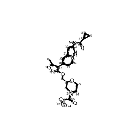 Cc1onc(OC[C@@H]2CN(C(=O)OC(C)(C)C)CCO2)c1-c1ccn2nc(NC(=O)C3CC3)cc2c1